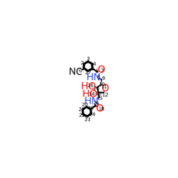 N#Cc1cccc(C(=O)NC[C@H]2OC[C@@](O)(CNC(=O)c3ccccc3)[C@@H]2O)c1